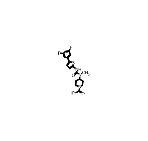 CC(C)C(=O)N1CCC(N(C)C(=O)Nc2ccc(-c3cc(F)cc(F)c3)s2)CC1